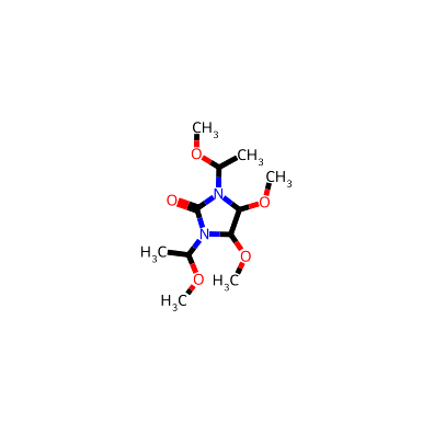 COC(C)N1C(=O)N(C(C)OC)C(OC)C1OC